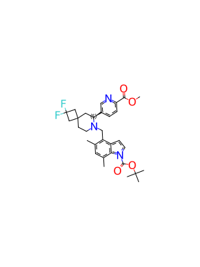 COC(=O)c1ccc([C@@H]2CC3(CCN2Cc2c(C)cc(C)c4c2ccn4C(=O)OC(C)(C)C)CC(F)(F)C3)cn1